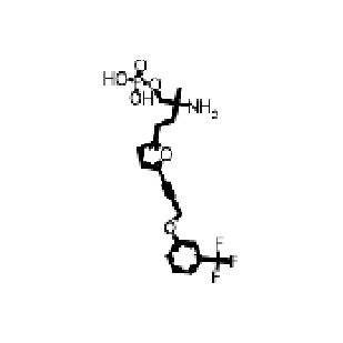 CC(N)(CCc1ccc(C#CCOc2cccc(C(F)(F)F)c2)o1)COP(=O)(O)O